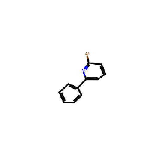 Sc1cccc(-c2ccccc2)n1